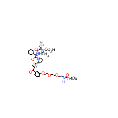 C[C@@H](C(=O)N[C@H](C(=O)N1CCC[C@@H]1c1nc(C(=O)c2cccc(OCCOCCOCCNC(=O)OC(C)(C)C)c2)cs1)C1CCCCC1)N(C)C(=O)O